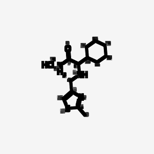 Cc1nc(CNC(C(N)=O)C2CCCCC2)cs1.Cl